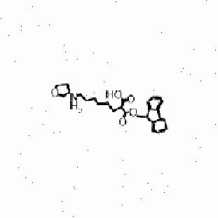 C1CCOC1.NCCCCCCC(C(=O)O)C(=O)OCC1c2ccccc2-c2ccccc21